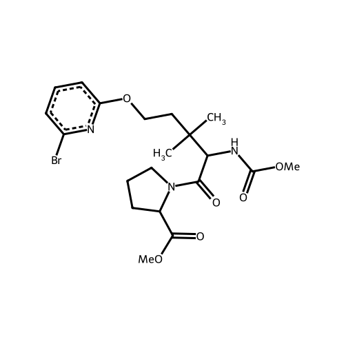 COC(=O)NC(C(=O)N1CCCC1C(=O)OC)C(C)(C)CCOc1cccc(Br)n1